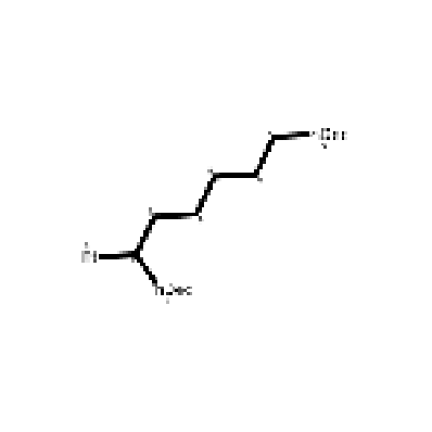 [CH2]CC(CCCCCCCCCC)CCCCCCCCCCCCCCC